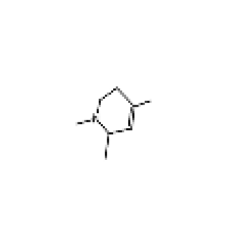 CC1=CC(C)N(C)CC1